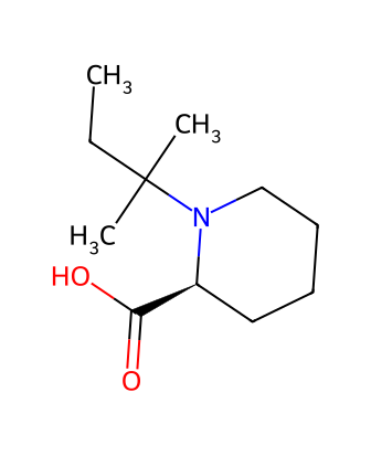 CCC(C)(C)N1CCCC[C@H]1C(=O)O